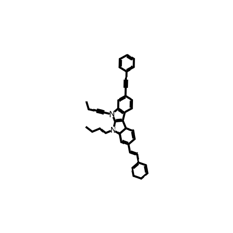 CCC#Cn1c2c(c3ccc(C#Cc4ccccc4)cc31)C1C=CC(/C=C/C3=CCCC=C3)=CC1N2CCCC